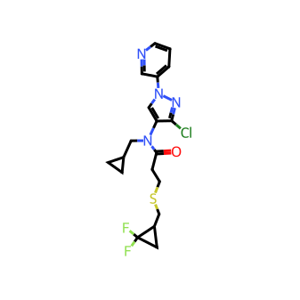 O=C(CCSCC1CC1(F)F)N(CC1CC1)c1cn(-c2cccnc2)nc1Cl